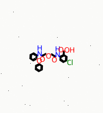 O=C(COCC(=O)Nc1ccc(Cl)cc1C(=O)O)Nc1ccccc1Oc1ccccc1